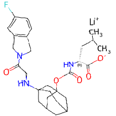 CC(C)C[C@@H](NC(=O)OC12CC3CC(CC(NCC(=O)N4Cc5ccc(F)cc5C4)(C3)C1)C2)C(=O)[O-].[Li+]